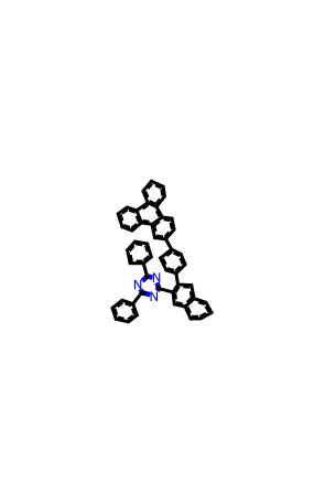 c1ccc(-c2nc(-c3ccccc3)nc(-c3cc4ccccc4cc3-c3ccc(-c4ccc5c6ccccc6c6ccccc6c5c4)cc3)n2)cc1